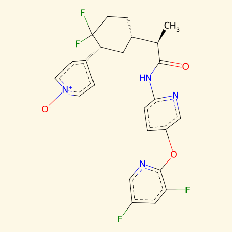 C[C@@H](C(=O)Nc1ccc(Oc2ncc(F)cc2F)cn1)[C@H]1CCC(F)(F)[C@@H](c2cc[n+]([O-])cc2)C1